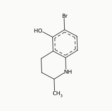 CC1CCc2c(ccc(Br)c2O)N1